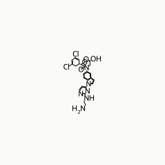 NCCNc1nccc(-n2ccc3cc(N(CC(=O)O)S(=O)(=O)C4C=C(Cl)C=C(Cl)C4)ccc32)n1